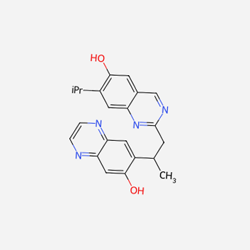 CC(C)c1cc2nc(CC(C)c3cc4nccnc4cc3O)ncc2cc1O